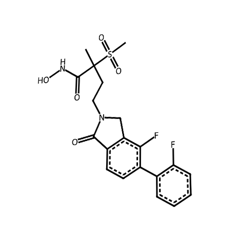 CC(CCN1Cc2c(ccc(-c3ccccc3F)c2F)C1=O)(C(=O)NO)S(C)(=O)=O